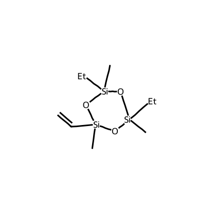 C=C[Si]1(C)O[Si](C)(CC)O[Si](C)(CC)O1